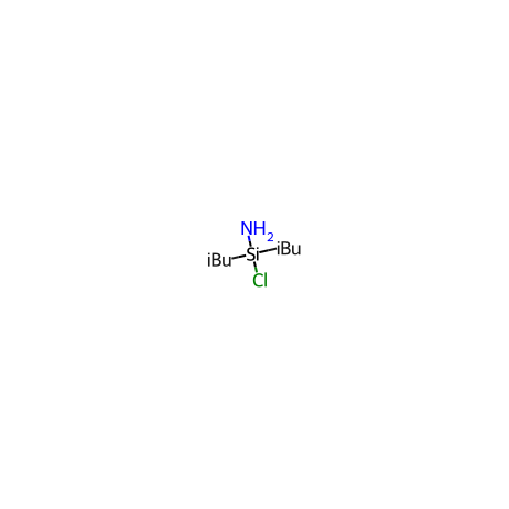 CCC(C)[Si](N)(Cl)C(C)CC